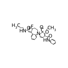 CCCNC(=O)C=C1c2ccccc2N(C2C=CC(C(=O)Nc3ccccc3)=C(OCC)C2=C=O)CCC1(F)F